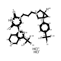 Cl.Cl.O=c1[nH]c(=O)n(CCCN2C[C@@H]3C[C@]3(c3ccc(C(F)(F)F)cc3)C2)cc1-n1nc(C(F)(F)F)c2c1CCOC2